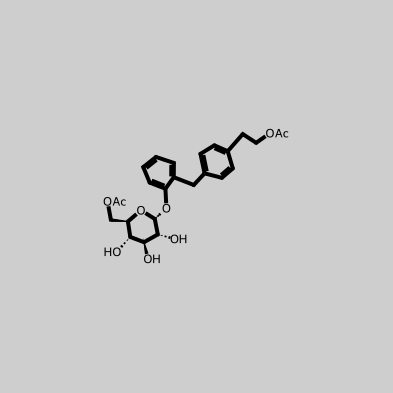 CC(=O)OCCc1ccc(Cc2ccccc2O[C@H]2O[C@H](COC(C)=O)[C@@H](O)[C@H](O)[C@H]2O)cc1